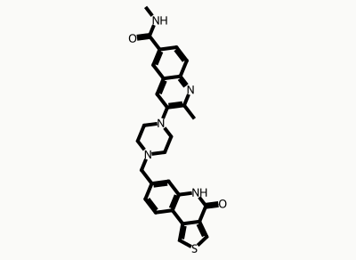 CNC(=O)c1ccc2nc(C)c(N3CCN(Cc4ccc5c(c4)[nH]c(=O)c4cscc45)CC3)cc2c1